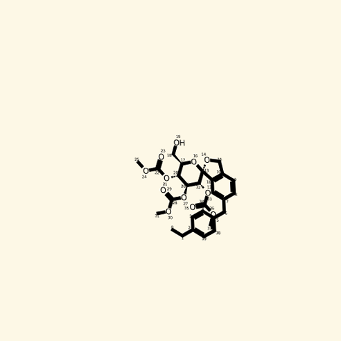 CCc1ccc(Cc2ccc3c(c2)[C@]2(OC3)O[C@H](CO)[C@@H](OC(=O)OC)[C@H](OC(=O)OC)[C@H]2OC(=O)OC)cc1